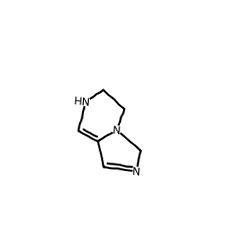 C1=NCN2CCNC=C12